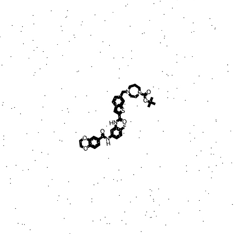 CC(C)(C)OC(=O)N1CCCN(Cc2ccc3cc(C(=O)Nc4cc(NC(=O)c5ccc6c(c5)OCCO6)ccc4F)sc3c2)CC1